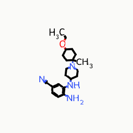 CCOC1CCC(C)(N2CCC(Nc3cc(C#N)ccc3N)CC2)CC1